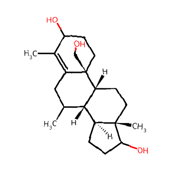 CC1=C2CC(C)[C@@H]3[C@@H](CC[C@]4(C)C(O)CC[C@@H]34)[C@@]2(CO)CCC1O